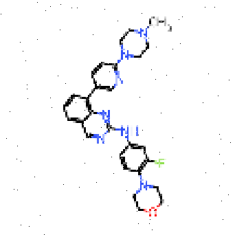 CN1CCN(c2ccc(-c3cccc4cnc(Nc5ccc(N6CCOCC6)c(F)c5)nc34)cn2)CC1